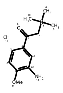 COc1ccc(C(=O)C[N+](C)(C)C)cc1N.[Cl-]